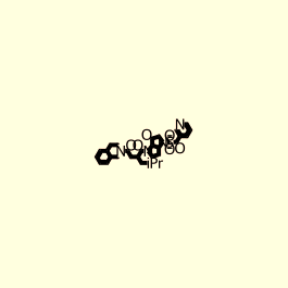 CC(C)CC(CC(=O)N1CCC2C=CC=CC2C1)C(=O)N1CCC2C1C(=O)CN2S(=O)(=O)C(=O)c1cccnc1